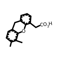 Cc1ccc2c(c1C)Oc1c(CC(=O)O)cccc1C2